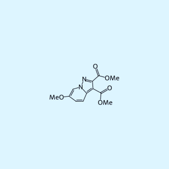 COC(=O)c1nn2cc(OC)ccc2c1C(=O)OC